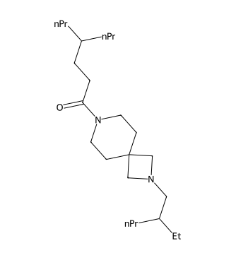 CCCC(CCC)CCC(=O)N1CCC2(CC1)CN(CC(CC)CCC)C2